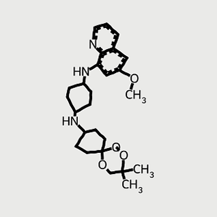 COc1cc(NC2CCC(NC3CCC4(CC3)OCC(C)(C)OO4)CC2)c2ncccc2c1